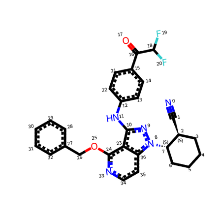 N#C[C@H]1CCCC[C@@H]1n1nc(Nc2ccc(C(=O)C(F)F)cc2)c2c(OCc3ccccc3)nccc21